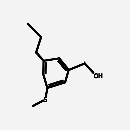 CCCc1cc([CH]O)cc(SC)c1